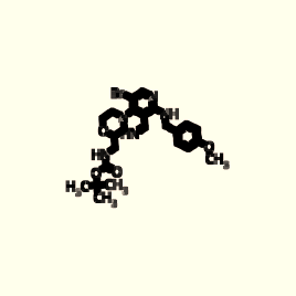 COc1ccc(CNc2ncc(Br)c(N3CCOC(CNC(=O)OC(C)(C)C)C3)c2C=N)cc1